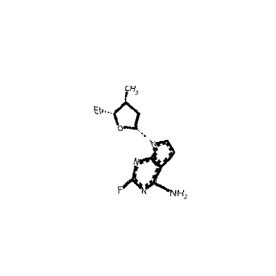 CC[C@H]1O[C@@H](n2ccc3c(N)nc(F)nc32)C[C@@H]1C